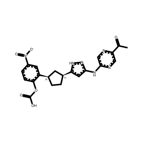 CC(=O)c1cnc(Nc2cc([C@H]3CC[C@@H](c4cc([N+](=O)[O-])ccc4OC(=O)O)C3)[nH]n2)cn1